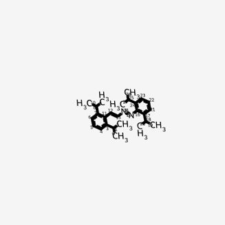 CC(C)c1cccc(C(C)C)c1C=CN=Nc1c(C(C)C)cccc1C(C)C